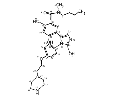 CCCCN(C)C(=O)c1cc(-c2nnc(O)n2-c2ccc(OCCN3CCNCC3)cc2)c(O)cc1O